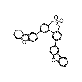 O=S1(=O)Cc2ccc(-c3ccc4oc5ccccc5c4c3)cc2-c2cc(-c3ccc4oc5ccccc5c4c3)ccc2C1